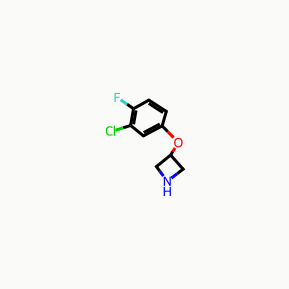 Fc1ccc(OC2CNC2)cc1Cl